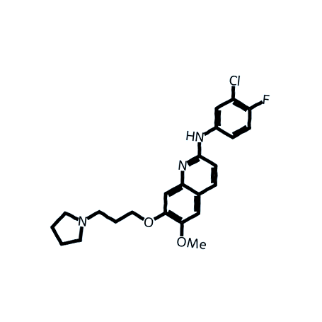 COc1cc2ccc(Nc3ccc(F)c(Cl)c3)nc2cc1OCCCN1CCCC1